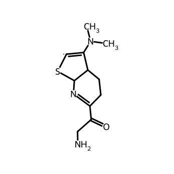 CN(C)C1=[C]SC2N=C(C(=O)CN)CCC12